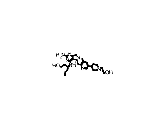 CCCC(CCO)Nc1nc(N)nc2cnn(Cc3ncc(C4CCN(CCO)CC4)cc3C)c12